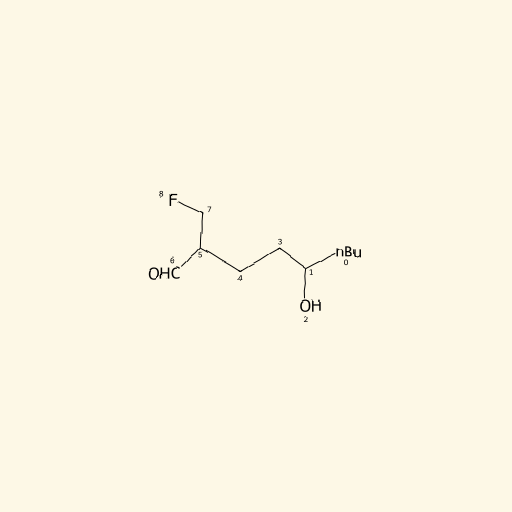 CCCCC(O)CCC(C=O)CF